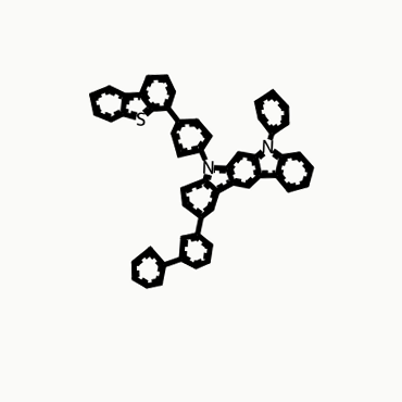 c1ccc(-c2cccc(-c3ccc4c(c3)c3cc5c6ccccc6n(-c6ccccc6)c5cc3n4-c3ccc(-c4cccc5c4sc4ccccc45)cc3)c2)cc1